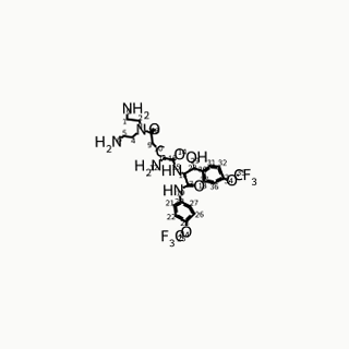 NCCN(CCN)C(=O)CC[C@H](N)C(=O)N[C@H](C(=O)Nc1ccc(OC(F)(F)F)cc1)[C@H](O)c1ccc(OC(F)(F)F)cc1